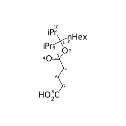 CCCCCCC(OC(=O)CCCC(=O)O)(C(C)C)C(C)C